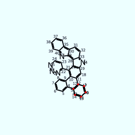 c1ccc(-c2ccccc2-c2c(-c3ccccc3)cc3c(c2-c2ccnnn2)-c2c4c(ccc2=N3)=c2ccccc2=N4)cc1